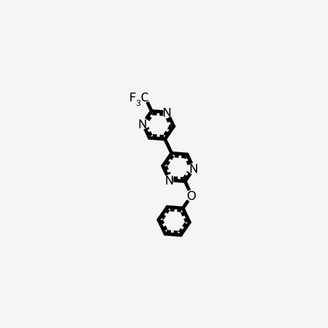 FC(F)(F)c1ncc(-c2cnc(Oc3ccccc3)nc2)cn1